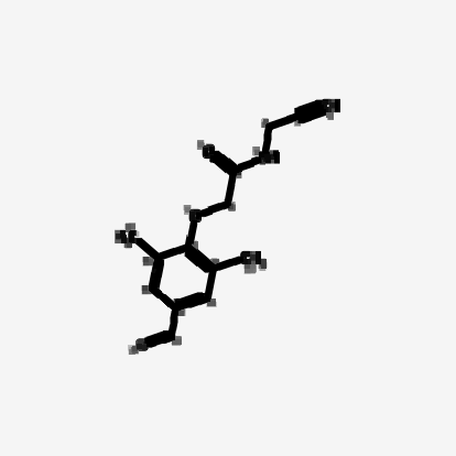 C#CCNC(=O)COc1c(C)cc(C=O)cc1C